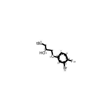 CC(C)(C)[CH][C@@H](O)COc1ccc(F)c(Br)c1